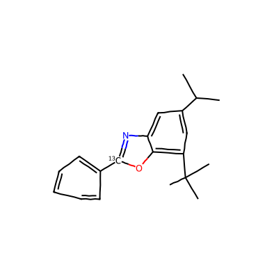 CC(C)c1cc(C(C)(C)C)c2o[13c](-c3ccccc3)nc2c1